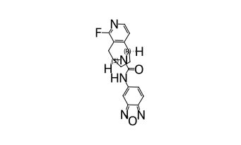 O=C(Nc1ccc2nonc2c1)N1[C@H]2CC[C@@H]1c1ccnc(F)c1C2